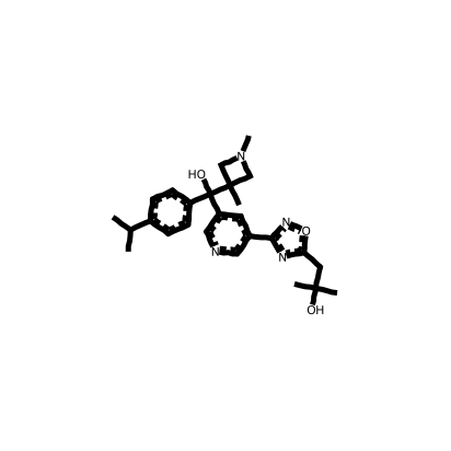 CC(C)c1ccc(C(O)(c2cncc(-c3noc(CC(C)(C)O)n3)c2)C2(C)CN(C)C2)cc1